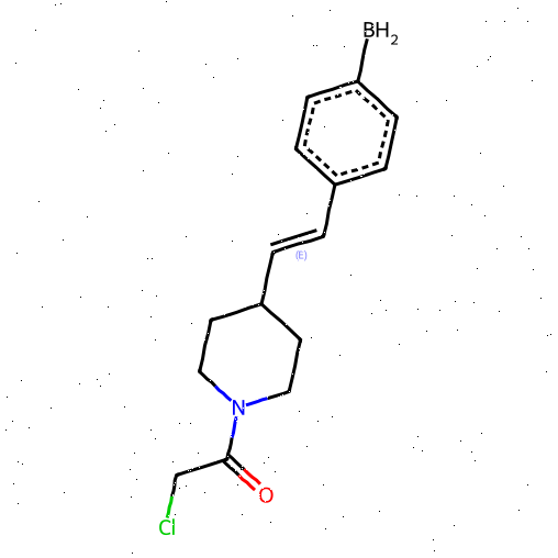 Bc1ccc(/C=C/C2CCN(C(=O)CCl)CC2)cc1